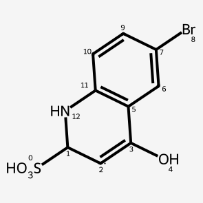 O=S(=O)(O)C1[C]=C(O)c2cc(Br)ccc2N1